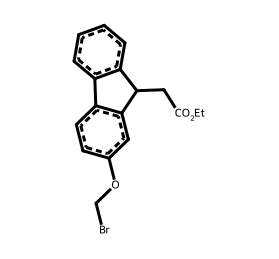 CCOC(=O)CC1c2ccccc2-c2ccc(OCBr)cc21